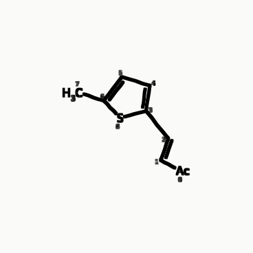 CC(=O)C=Cc1ccc(C)s1